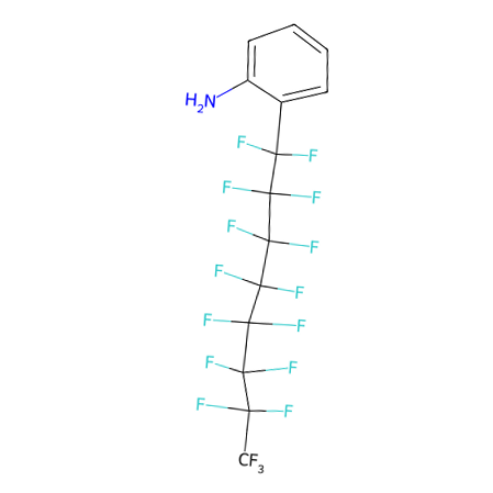 Nc1ccccc1C(F)(F)C(F)(F)C(F)(F)C(F)(F)C(F)(F)C(F)(F)C(F)(F)C(F)(F)F